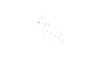 O=C(O)NCC(F)(F)C(F)(F)C(F)(F)C(F)(F)F